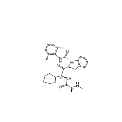 CN[C@@H](C)C(=O)N[C@H](C(=O)N1Cc2ccccc2[C@H]1C(=O)Nc1c(F)cccc1F)C1CCCCC1